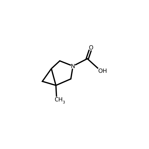 CC12CC1CN(C(=O)O)C2